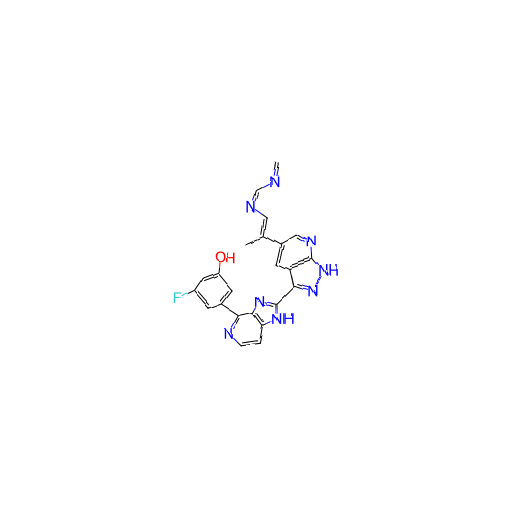 C=N/C=N\C=C(/C)c1cnc2[nH]nc(-c3nc4c(-c5cc(O)cc(F)c5)nccc4[nH]3)c2c1